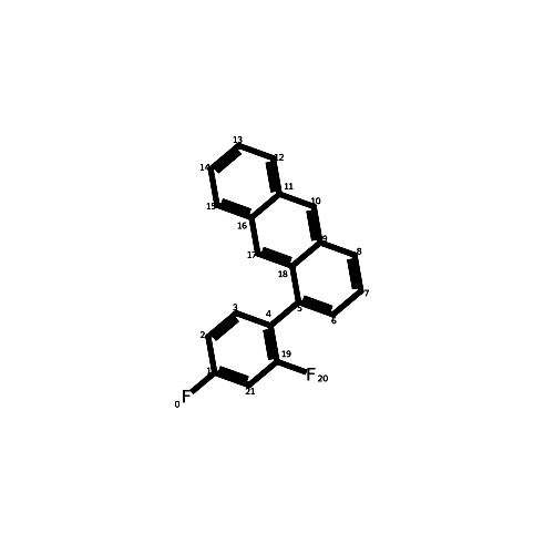 Fc1ccc(-c2cccc3cc4ccccc4cc23)c(F)c1